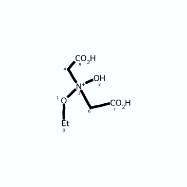 CCO[N+](O)(CC(=O)O)CC(=O)O